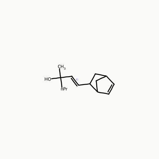 CCCC(C)(O)/C=C/C1CC2C=CC1C2